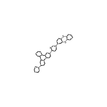 c1ccc(-c2ccc3c4ccc(-c5ccc(-c6ccc7c(c6)Sc6ccccc6S7)cn5)cc4c4ccccc4c3c2)cc1